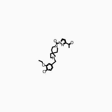 CCOc1cc(CN2CCC3(CCN(C(=O)n4ccc(C(C)=O)n4)CC3)C2)ccc1Cl